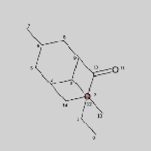 CCOC1C2CC(C)CC1C(=O)C(C)C2